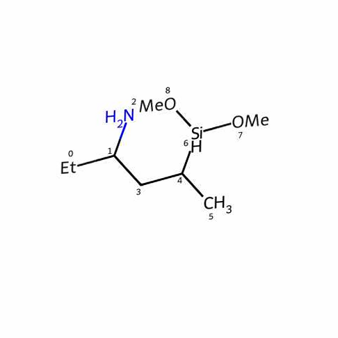 CCC(N)CC(C)[SiH](OC)OC